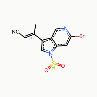 C/C(=C\C#N)c1cn([SH](=O)=O)c2cc(Br)ncc12